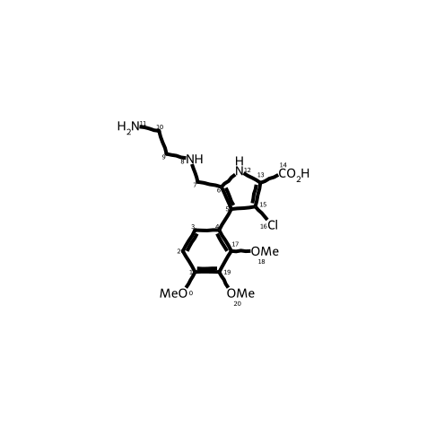 COc1ccc(-c2c(CNCCN)[nH]c(C(=O)O)c2Cl)c(OC)c1OC